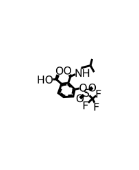 CC(C)CNC(=O)c1c(OS(=O)(=O)C(F)(F)F)cccc1C(=O)O